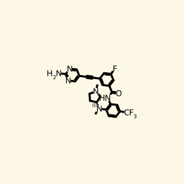 CN1CC[C@H](N(C)c2ccc(C(F)(F)F)cc2NC(=O)c2cc(F)cc(C#Cc3cnc(N)nc3)c2)C1